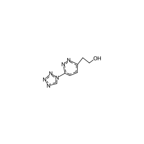 OCCc1ccc(-n2cnnn2)nn1